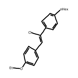 CCCCCCc1ccc(/C(Cl)=C/c2ccc(OCC)cc2)cc1